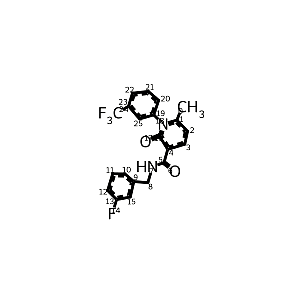 Cc1ccc(C(=O)NCc2cccc(F)c2)c(=O)n1-c1cccc(C(F)(F)F)c1